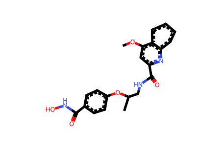 COc1cc(C(=O)NCC(C)Oc2ccc(C(=O)NO)cc2)nc2ccccc12